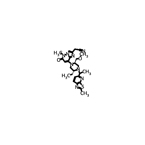 CC[C@@H]1CN(c2cc(=O)n(C)n3cc(CC#N)nc23)[C@@H](COC)CN1C(C)c1ccc2nc(C)sc2n1